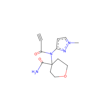 C#CC(=O)N(c1ccn(C)n1)C1(C(N)=O)CCOCC1